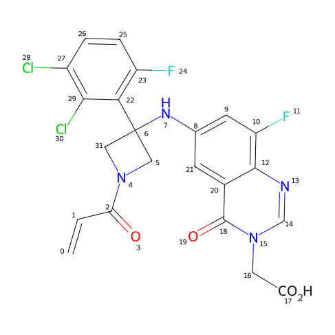 C=CC(=O)N1CC(Nc2cc(F)c3ncn(CC(=O)O)c(=O)c3c2)(c2c(F)ccc(Cl)c2Cl)C1